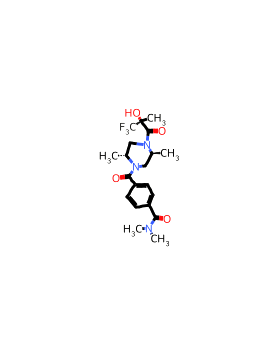 C[C@@H]1CN(C(=O)[C@@](C)(O)C(F)(F)F)[C@@H](C)CN1C(=O)c1ccc(C(=O)N(C)C)cc1